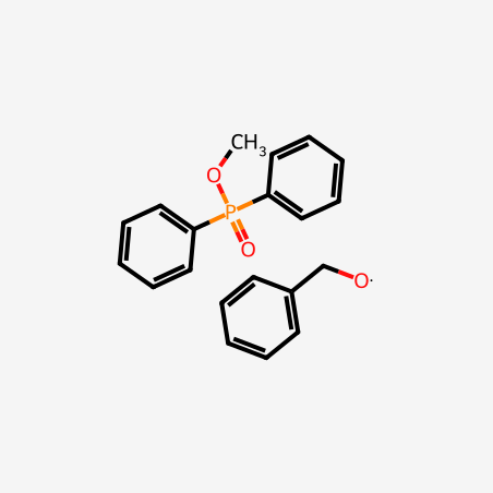 COP(=O)(c1ccccc1)c1ccccc1.[O]Cc1ccccc1